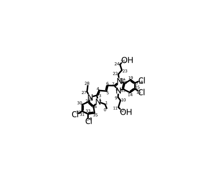 CCN1C(=CC=Cc2n(CCCO)c3cc(Cl)c(Cl)cc3[n+]2CCCO)N(CC)c2cc(Cl)c(Cl)cc21